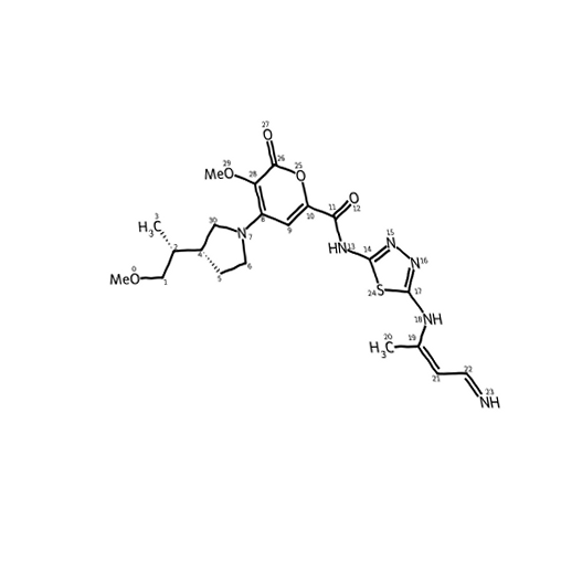 COC[C@H](C)[C@H]1CCN(c2cc(C(=O)Nc3nnc(N/C(C)=C\C=N)s3)oc(=O)c2OC)C1